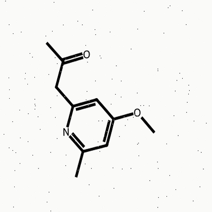 COc1cc(C)nc(CC(C)=O)c1